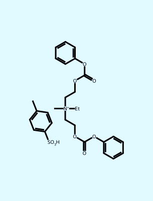 CC[N+](C)(CCOC(=O)Oc1ccccc1)CCOC(=O)Oc1ccccc1.Cc1ccc(S(=O)(=O)O)cc1